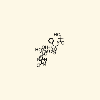 CC(C)(CO)C(=O)SCCOP(=O)(NCc1ccccc1)OC[C@H]1O[C@@H](n2cnc3c(Cl)ncnc32)C(C)(O)C1O